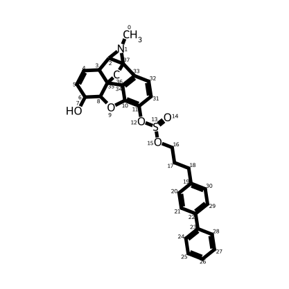 CN1C2C3C=CC(O)C4Oc5c(OS(=O)OCCCc6ccc(-c7ccccc7)cc6)ccc6c5C34CC621